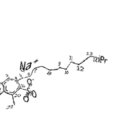 Cc1ccc(CCCCCCCCCC(C)C)c(S(=O)(=O)[O-])c1C.[Na+]